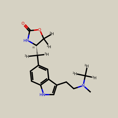 [2H]C1([2H])OC(=O)N[C@H]1C([2H])([2H])c1ccc2[nH]cc(CCN(C)C([2H])([2H])[2H])c2c1